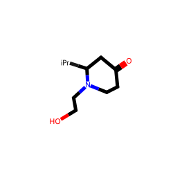 CC(C)C1CC(=O)CCN1CCO